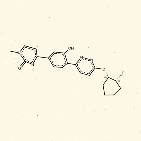 Cn1ccc(-c2ccc(-c3ccc(O[C@H]4CCCC[C@H]4F)nn3)c(O)c2)nc1=O